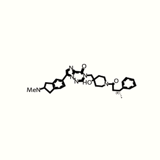 CNC1Cc2ccc(-c3cnc4c(=O)n(CC5(O)CCN(C(=O)C[C@@H](C)c6ccccc6)CC5)cnn34)cc2C1